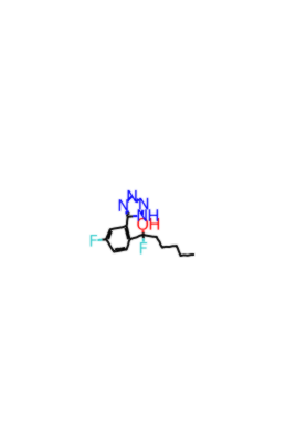 CCCCCC(O)(F)c1ccc(F)cc1-c1nnn[nH]1